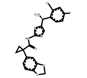 N[C@H](c1cnc(NC(=O)C2(c3ccc4c(c3)OCO4)CC2)s1)c1ccc(F)cc1Cl